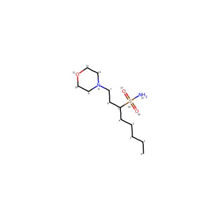 CCCCCC(CCN1CCOCC1)S(N)(=O)=O